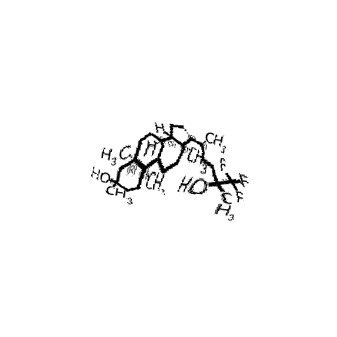 C[C@H](CCC(C)(O)C(F)(F)F)[C@H]1CC[C@H]2[C@@H]3CC[C@]4(C)C[C@@](C)(O)CC[C@]4(C)C3CC[C@]12C